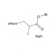 CCCCCCC(I)C(=O)OBr.[NaH]